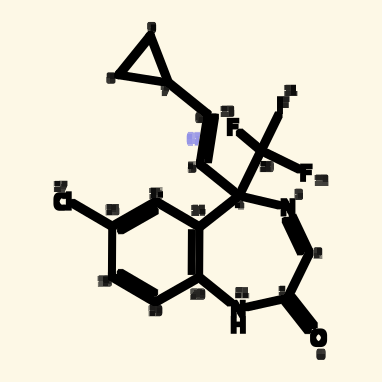 O=C1C=NC(/C=C/C2CC2)(C(F)(F)F)c2cc(Cl)ccc2N1